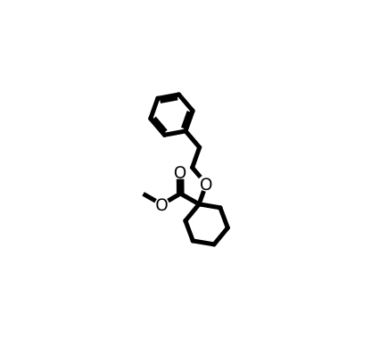 COC(=O)C1(OCCc2ccccc2)CCCCC1